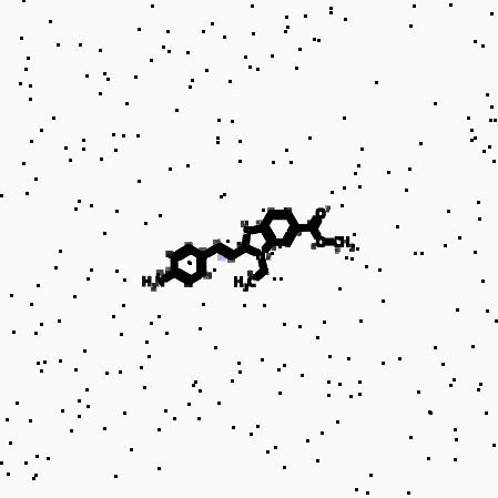 CCN1c2cc(C(=O)OC)ccc2SC1/C=C/c1ccc(N)cc1